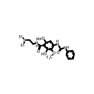 CCN(CC)CCNC(=O)c1c(OC)cc(NC(=O)Nc2ccccc2)c(OC(F)(F)F)c1O